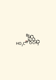 Cc1c(-c2ccccc2)cc2ccc(Br)cc2c1C(=O)NC12CC(C(=O)O)(C1)C2